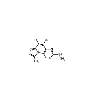 CCC1c2nnc(C)n2-c2cnc(NN)nc2N1C(C)C